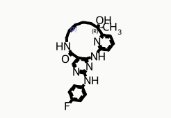 C[C@@]1(O)CC/C=C\CNC(=O)c2cnc(Nc3ccc(F)cc3)nc2Nc2cccc1n2